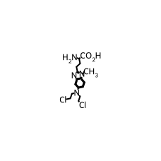 Cn1c(CCC(N)C(=O)O)nc2cc(N(CCCl)CCCl)ccc21